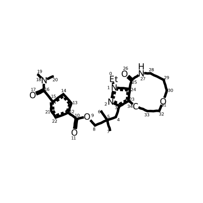 CCn1nc(CC(C)(C)COC(=O)c2ccc(C(=O)N(C)C)cc2)c2c1C(=O)NCCCOCCC2